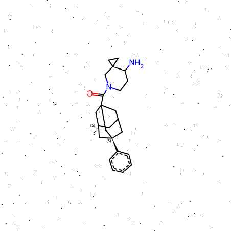 C[C@@]12CC3CC(C(=O)N4CCC(N)C5(CC5)C4)(C1)C[C@](c1ccccc1)(C3)C2